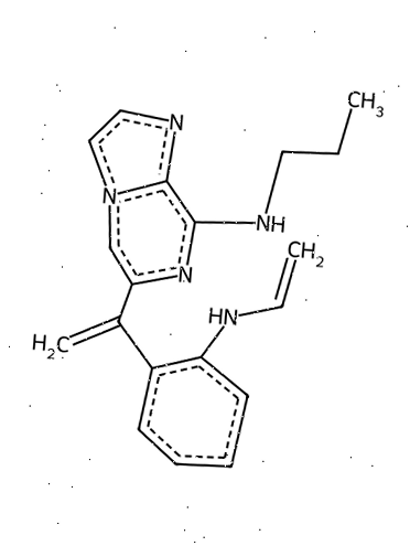 C=CNc1ccccc1C(=C)c1cn2ccnc2c(NCCC)n1